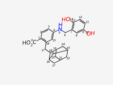 O=C(O)c1ccc(NCc2cc(O)ccc2O)cc1CC1C2CC3CC(C2)CC1C3